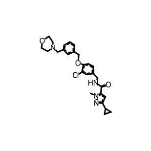 Cn1nc(C2CC2)cc1C(=O)NCc1ccc(OCc2cccc(CN3CCOCC3)c2)c(Cl)c1